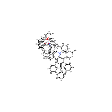 C=C/C=C\C(=C/C)c1cc([Si](c2ccccc2)(c2ccccc2)c2ccccc2)cc(-c2ccccc2)c1-n1c2ccccc2c2cc(-n3c4ccccc4c4cccc(-c5ccccc5-c5cccc6oc7ccccc7c56)c43)ccc21